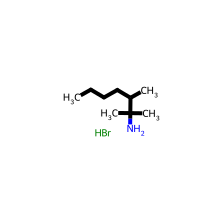 Br.CCCCC(C)C(C)(C)N